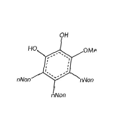 CCCCCCCCCc1c(O)c(O)c(OC)c(CCCCCCCCC)c1CCCCCCCCC